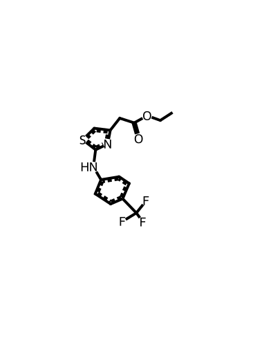 CCOC(=O)Cc1csc(Nc2ccc(C(F)(F)F)cc2)n1